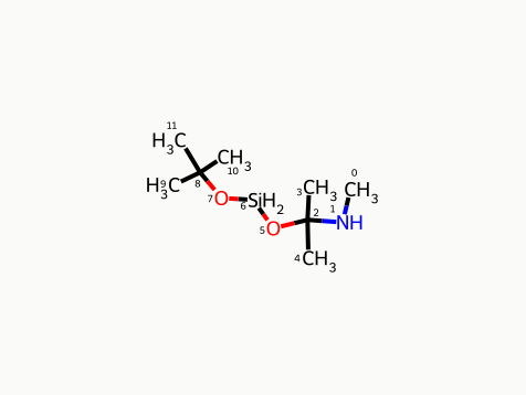 CNC(C)(C)O[SiH2]OC(C)(C)C